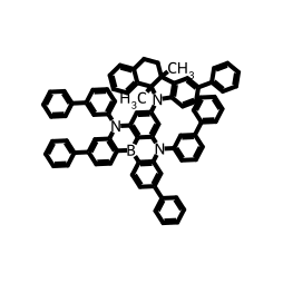 CC12CCc3ccccc3C1(C)N(c1cc3c4c(c1)N(c1cccc(-c5ccccc5)c1)c1cc(-c5ccccc5)ccc1B4c1ccc(-c4ccccc4)cc1N3c1cccc(-c3ccccc3)c1)c1ccc(-c3ccccc3)cc12